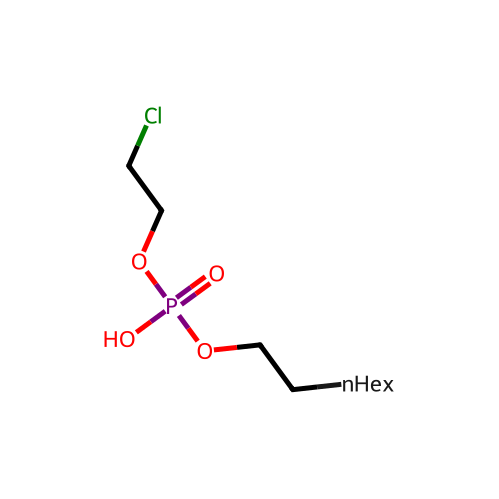 CCCCCCCCOP(=O)(O)OCCCl